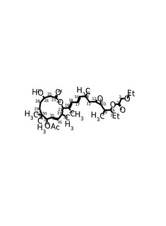 CCOCC(=O)OC(CC)C(C)C1OC1CC(C)/C=C/C=C(\C)C1OC(=O)CC(O)CCC(C)(C)C(OC(C)=O)/C=C/C1C